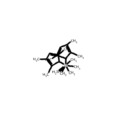 CC1=CC(C)=C(C)[CH]1[Zr]([CH3])([CH3])([CH3])([CH3])(=[SiH2])[CH]1C(C)=CC(C)=C1C